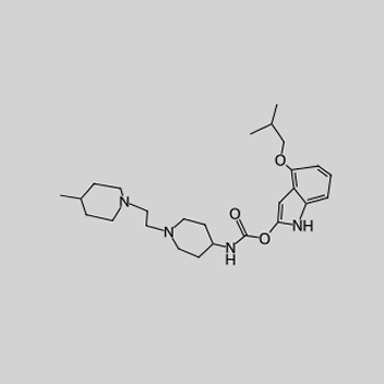 CC(C)COc1cccc2[nH]c(OC(=O)NC3CCN(CCN4CCC(C)CC4)CC3)cc12